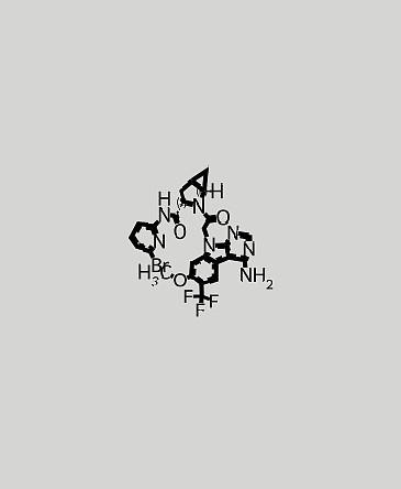 COc1cc2c(cc1C(F)(F)F)c1c(N)ncnc1n2CC(=O)N1[C@@H]2CC2C[C@H]1C(=O)Nc1cccc(Br)n1